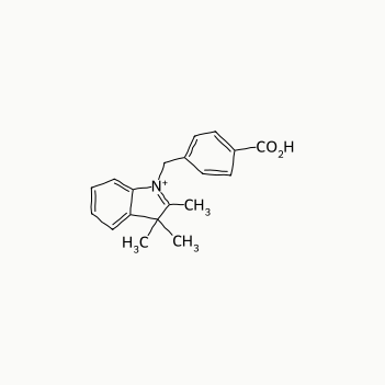 CC1=[N+](Cc2ccc(C(=O)O)cc2)c2ccccc2C1(C)C